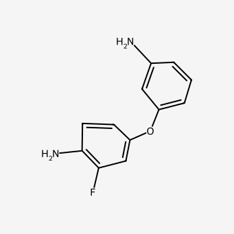 Nc1cccc(Oc2ccc(N)c(F)c2)c1